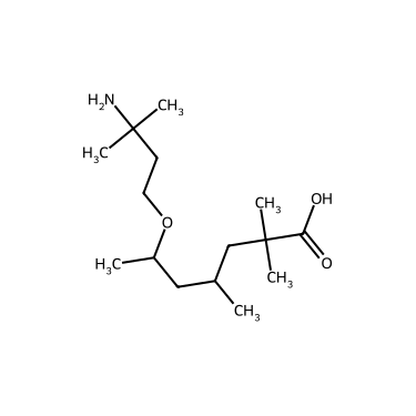 CC(CC(C)OCCC(C)(C)N)CC(C)(C)C(=O)O